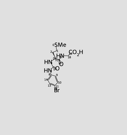 CSCC[C@H](NC(=O)Nc1ccc(Br)cc1)C(=O)NCC(=O)O